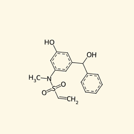 C=CS(=O)(=O)N(C)c1cc(O)cc(C(O)c2ccccc2)c1